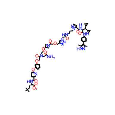 COC(=O)[C@H](CCC(C)(C)C)NC(=O)c1ccc(Oc2cccc(OCC(=O)N(CCOC3CN(C(=O)COCc4cn(CC(=O)NCCCn5nccc5C(=O)N[C@H](C(=O)Nc5ccc(-c6c(C)n[nH]c6C)cc5)C(C5CC5)C5CC5)nn4)C3)CC(N)=O)c2)nc1